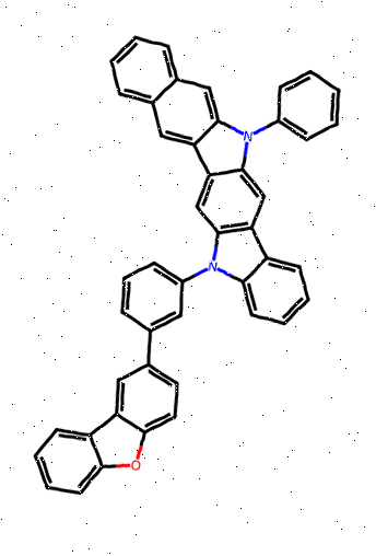 c1ccc(-n2c3cc4ccccc4cc3c3cc4c(cc32)c2ccccc2n4-c2cccc(-c3ccc4oc5ccccc5c4c3)c2)cc1